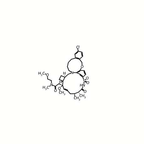 COCCN(C)C(=O)C[C@]1(OC)/C=C/C[C@H](C)[C@@H](C)C(=O)NS(=O)(=O)c2ccc3c(c2)N(CCCCc2cc(Cl)ccc2CO3)C[C@@H]2CC[C@H]21